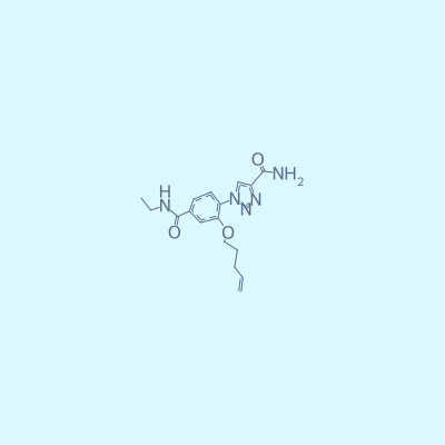 C=CCCCOc1cc(C(=O)NCC)ccc1-n1cc(C(N)=O)nn1